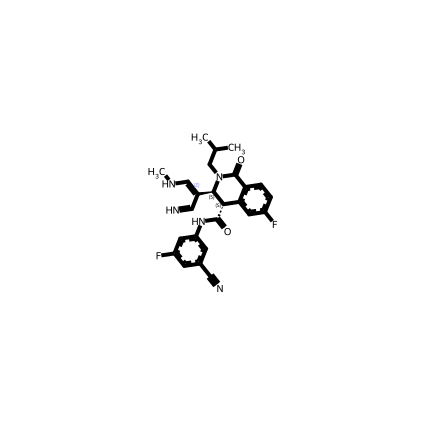 CN/C=C(\C=N)[C@@H]1[C@@H](C(=O)Nc2cc(F)cc(C#N)c2)c2cc(F)ccc2C(=O)N1CC(C)C